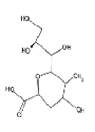 CC1C(O)CC(C(=O)O)OC1C(O)[C@@H](O)CO